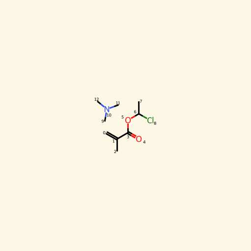 C=C(C)C(=O)OC(C)Cl.CN(C)C